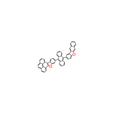 c1ccc2cc3c(cc2c1)oc1ccc(-c2c4ccccc4c(-c4ccc5c(c4)oc4c6cccc7ccc8cccc(c54)c8c76)c4ccccc24)cc13